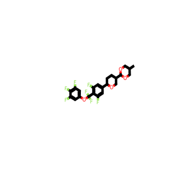 CC1COC(C2CCC(c3cc(F)c(C(F)(F)Oc4cc(F)c(F)c(F)c4)c(F)c3)OC2)OC1